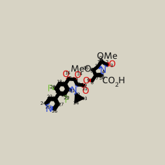 COC1C(=O)N2C(C(=O)O)=C(COC(=O)C3C(=O)C(=O)c4cc(F)c(-c5ccncc5)c(F)c4N3C3CC3)C(OC)C12